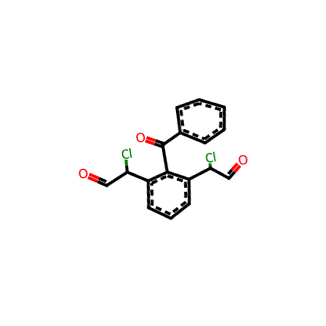 O=CC(Cl)c1cccc(C(Cl)C=O)c1C(=O)c1ccccc1